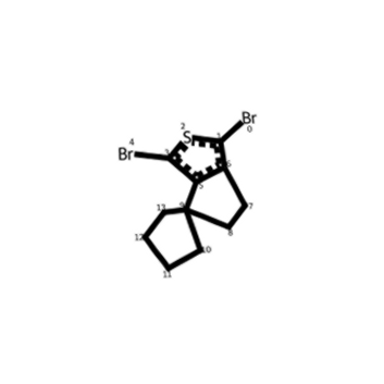 Brc1sc(Br)c2c1CCC21CCCC1